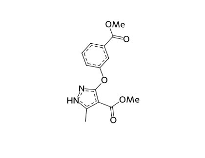 COC(=O)c1cccc(Oc2n[nH]c(C)c2C(=O)OC)c1